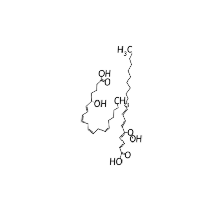 CCCCC/C=C\C/C=C\C/C=C\C=C\[C@@H](O)CCCC(=O)O.CCCCCCCCCCC/C=C/C=C/C(=C/C=C/C(=O)O)OO